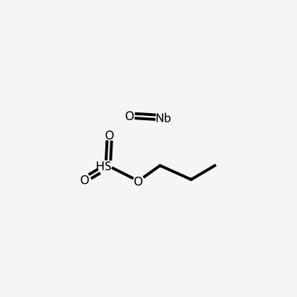 CCCO[SH](=O)=O.[O]=[Nb]